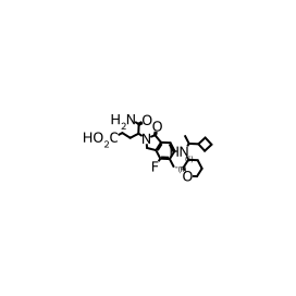 CC(N[C@H]1CCCO[C@@H]1Cc1ccc2c(c1F)CN(C(CCC(=O)O)C(N)=O)C2=O)C1CCC1